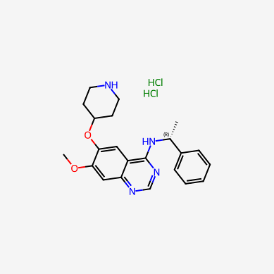 COc1cc2ncnc(N[C@H](C)c3ccccc3)c2cc1OC1CCNCC1.Cl.Cl